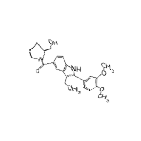 CCc1c(-c2ccc(OC)c(OC)c2)[nH]c2ccc(C(=O)N3CCCC3CO)cc12